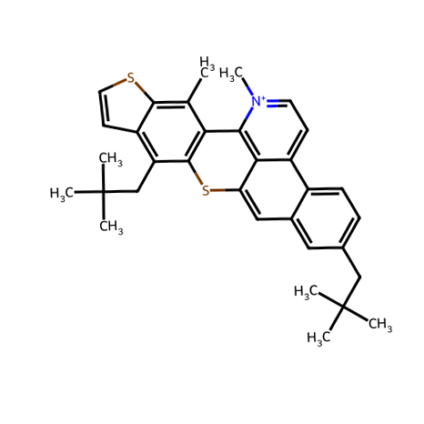 Cc1c2c(c(CC(C)(C)C)c3ccsc13)Sc1cc3cc(CC(C)(C)C)ccc3c3cc[n+](C)c-2c13